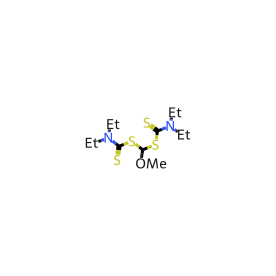 CCN(CC)C(=S)SC(OC)SC(=S)N(CC)CC